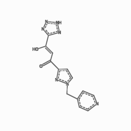 O=C(C=C(O)c1nn[nH]n1)c1ccn(Cc2ccncc2)n1